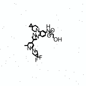 Cc1cc(-c2cnn(-c3ccc(NS(=O)(=O)CCO)cc3N3CCC4(CC3)CC4)c2)cc(N2CC3C(C2)C3(F)F)n1